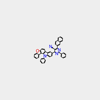 N#Cc1c(-c2ccc3ccccc3c2)nc(-c2ccccc2)nc1-c1ccc2c(c1)c1ccc3oc4ccccc4c3c1n2-c1ccccc1